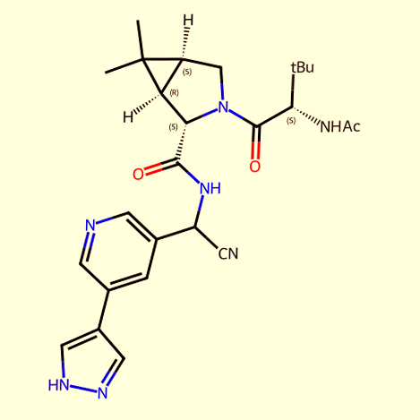 CC(=O)N[C@H](C(=O)N1C[C@H]2[C@@H]([C@H]1C(=O)NC(C#N)c1cncc(-c3cn[nH]c3)c1)C2(C)C)C(C)(C)C